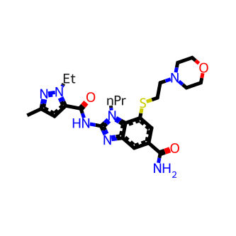 CCCn1c(NC(=O)c2cc(C)nn2CC)nc2cc(C(N)=O)cc(SCCN3CCOCC3)c21